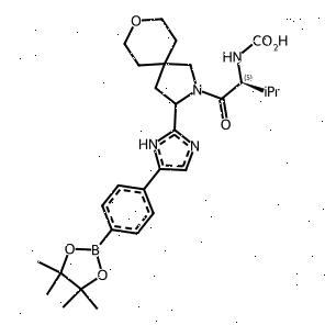 CC(C)[C@H](NC(=O)O)C(=O)N1CC2(CCOCC2)CC1c1ncc(-c2ccc(B3OC(C)(C)C(C)(C)O3)cc2)[nH]1